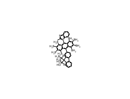 Bc1c(B)c(B)c2c(-n3c(C)nc4ccccc43)c3c(B)c(B)c(B)c(B)c3c(-c3ccc4c(c3)C(C(B)(B)B)(C(B)(B)O)c3ccccc3-4)c2c1B